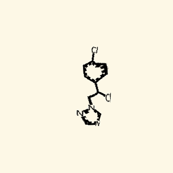 Clc1ccc(C(Cl)Cn2cncn2)cc1